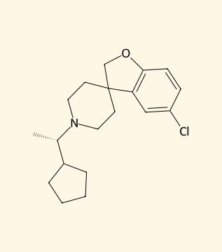 C[C@@H](C1CCCC1)N1CCC2(CC1)COc1ccc(Cl)cc12